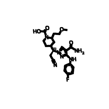 COCCC1CC([C@H](CC#N)n2cc(C(N)=O)c(Nc3ccc(F)cc3)n2)CCN1C(=O)O